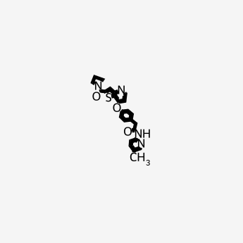 Cc1ccc(NC(=O)Cc2ccc(Oc3ccnc4cc(C(=O)N5CCC5)sc34)cc2)nc1